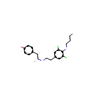 C[C@H](NCCc1cc(Cl)c(NCCCC(=O)O)c(Cl)c1)[C@H](O)c1ccc(O)cc1